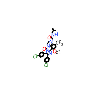 C=C(C)CNC(=O)CN1CCN(C(=O)N2C(c3ccc(C(F)(F)F)cc3OCC)=NC(c3ccc(Cl)cc3)C2c2ccc(Cl)cc2)CC1